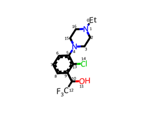 CCN1CCN(c2cccc(C(O)C(F)(F)F)c2Cl)CC1